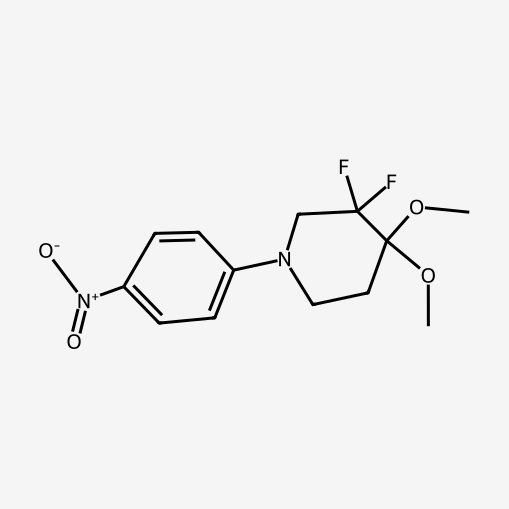 COC1(OC)CCN(c2ccc([N+](=O)[O-])cc2)CC1(F)F